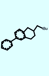 CCC(C)CC1CCc2cc(-c3ccccc3)ccc2C1